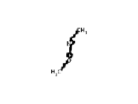 CCCCCCCOc1ccc(C#Cc2ccc(CCCCCC)cn2)cc1